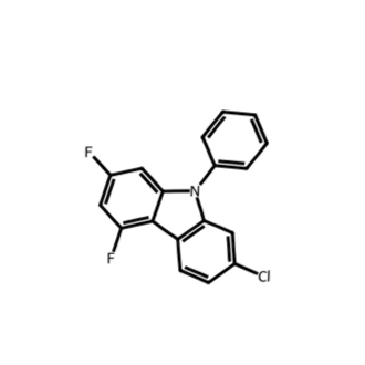 Fc1cc(F)c2c3ccc(Cl)cc3n(-c3ccccc3)c2c1